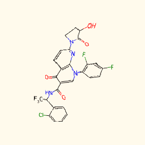 O=C(NC(c1ccccc1Cl)C(F)(F)F)c1cn(-c2ccc(F)cc2F)c2nc(N3CCC(O)C3=O)ccc2c1=O